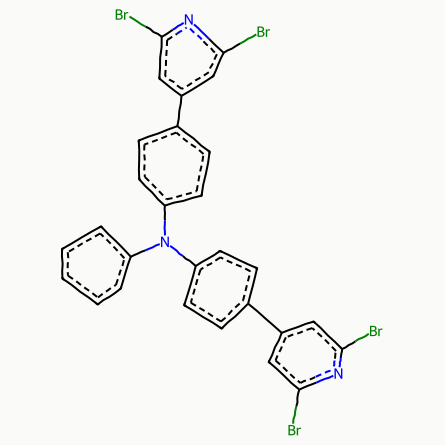 Brc1cc(-c2ccc(N(c3ccccc3)c3ccc(-c4cc(Br)nc(Br)c4)cc3)cc2)cc(Br)n1